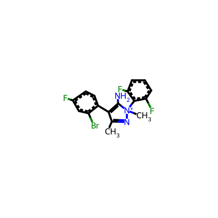 CC1=N[N+](C)(c2c(F)cccc2F)C(N)=C1c1ccc(F)cc1Br